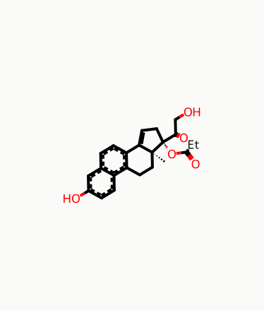 CCC(=O)O[C@@]1(C(=O)CO)CC=C2c3ccc4cc(O)ccc4c3CC[C@@]21C